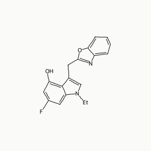 CCn1cc(Cc2nc3ccccc3o2)c2c(O)cc(F)cc21